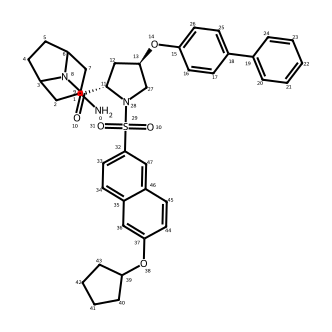 NC1CC2CCC(C1)N2C(=O)[C@@H]1C[C@@H](Oc2ccc(-c3ccccc3)cc2)CN1S(=O)(=O)c1ccc2cc(OC3CCCC3)ccc2c1